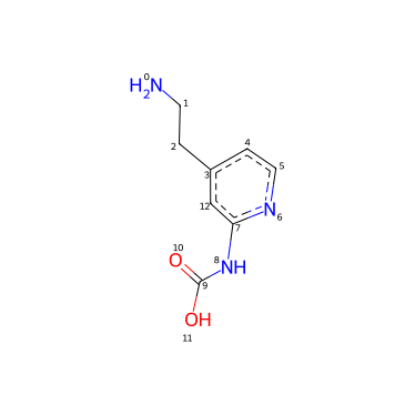 NCCc1ccnc(NC(=O)O)c1